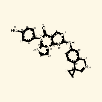 O=c1c2cnc(Nc3ccc4c(c3)CN=CC43CC3)nc2n2ccnc2n1-c1ccc(O)cc1